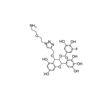 NCCOCCn1cc(COC2c3c(O)cc(O)cc3OC(c3cc(O)c(O)c(O)c3)C2OC(=O)c2cc(O)c(O)c(F)c2)nn1